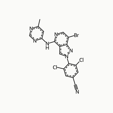 Cc1cc(Nc2ncc(Br)c3nn(-c4c(Cl)cc(C#N)cc4Cl)cc23)ncn1